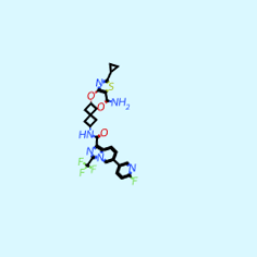 NC(=O)c1sc(C2CC2)nc1O[C@H]1CC2(C[C@H](NC(=O)c3nc(C(F)(F)F)n4cc(-c5ccc(F)nc5)ccc34)C2)C1